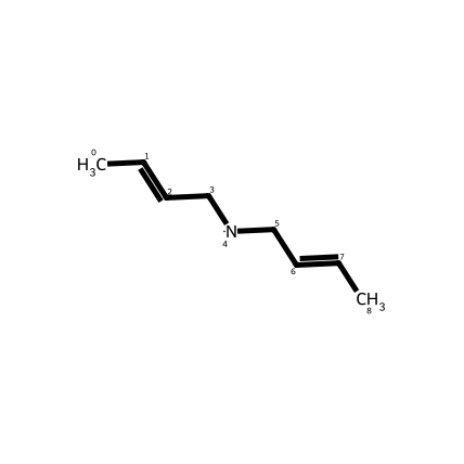 CC=CC[N]CC=CC